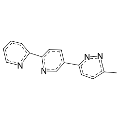 Cc1ccc(-c2ccc(-c3ccccn3)nc2)nn1